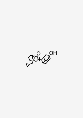 O=C1N(C2C3CC4CC2CC(O)(C4)C3)CC2(CC3CC3)CCCN12